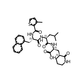 Cc1ccsc1C(=O)N[C@@H](Cc1cccc2ccccc12)C(=O)N[C@@H](CC(C)C)C(=O)N[C@@H](C[C@@H]1CCCNC1=O)C(=O)O